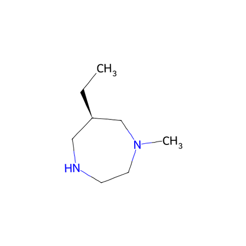 CC[C@@H]1CNCCN(C)C1